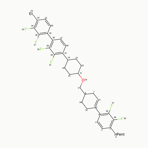 CCCCCc1ccc(C2=CCC(COC3CCC(c4ccc(-c5ccc(CC)c(F)c5F)c(F)c4F)CC3)CC2)c(F)c1F